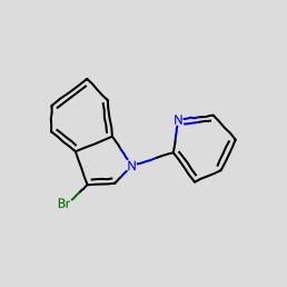 Brc1cn(-c2ccccn2)c2ccccc12